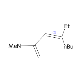 C=C(/C=C(/CC)CCCC)NC